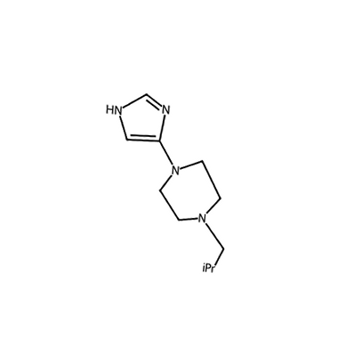 CC(C)CN1CCN(c2c[nH]cn2)CC1